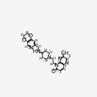 Cc1cnc2ccc(=O)n(CCN3CCC(NCc4cc5c(cn4)OCCO5)CC3)c2n1